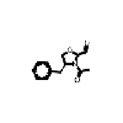 CC(=O)N1C(C=O)OC[C@@H]1Cc1ccccc1